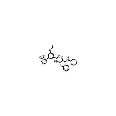 CCOc1cc(C(=O)N[C@@H](Cc2ccccc2)C(=O)CNC2CCCCC2)cc(N2CCCS2(=O)=O)c1